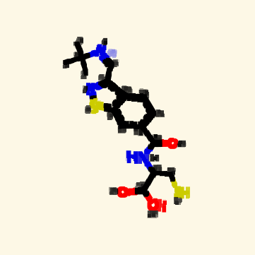 CC(C)(C)/N=C\c1nsc2cc(C(=O)NC(CS)C(=O)O)ccc12